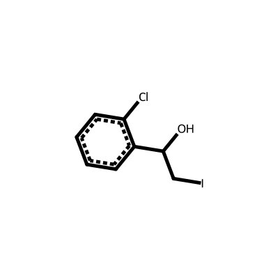 OC(CI)c1ccccc1Cl